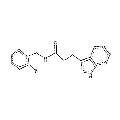 O=C(CCc1c[nH]c2ccccc12)NCc1ccccc1Br